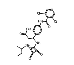 CCC(C)Nc1c(NC(CC(=O)O)c2ccc(NC(=O)c3c(Cl)cncc3Cl)cc2)c(=O)c1=O